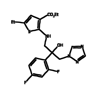 CCOC(=O)c1cc(CC)sc1NCC(O)(Cn1cncn1)c1ccc(F)cc1F